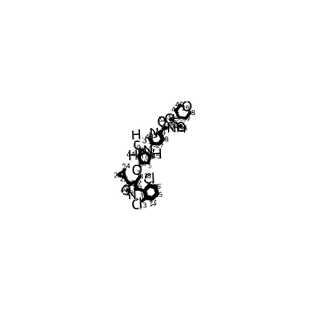 C[C@@H]1[C@@H]2C[C@@H](C[C@H]2OCc2c(-c3c(Cl)cccc3Cl)noc2C2CC2)N1c1ccc(C(=O)NS(=O)(=O)C2CCOCC2)nc1